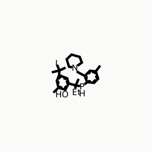 CCC(C)(Pc1ccc(C)cc1CN1CCCCC1)c1cc(C(C)(C)I)cc(C)c1O